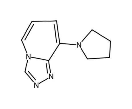 c1cc(N2CCCC2)c2nncn2c1